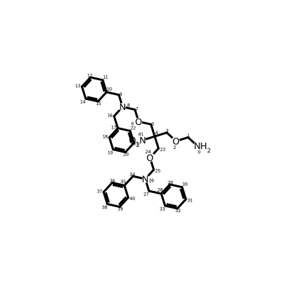 NCOCC(COCN(Cc1ccccc1)Cc1ccccc1)(COCN(Cc1ccccc1)Cc1ccccc1)[N+](=O)[O-]